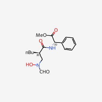 CCCC[C@H](CN(O)C=O)C(=O)N[C@H](C(=O)OC)c1ccccc1